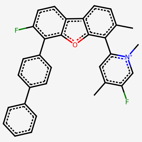 Cc1cc(-c2c(C)ccc3c2oc2c(-c4ccc(-c5ccccc5)cc4)c(F)ccc23)[n+](C)cc1F